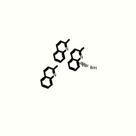 Br.Br.Br.Cc1ccc2ccccc2n1.Cc1ccc2ccccc2n1.Cc1ccc2ccccc2n1